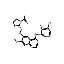 COc1cc2ncnc(Nc3cccc(Cl)c3F)c2cc1OC[C@@H]1CCCN1C(C)=O